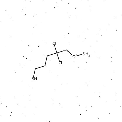 [SiH3]OCC(Cl)(Cl)CCCS